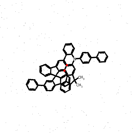 CC1(C)c2ccccc2-c2ccc(N(c3ccc(-c4ccccc4)cc3)c3ccccc3-c3ccc4c(c3)-c3ccccc3C43c4ccccc4-c4ccc(-c5ccccc5)cc43)cc21